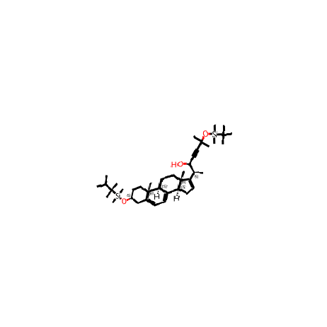 CC(C)C(C)(C)[Si](C)(C)O[C@H]1CC[C@@]2(C)C(=CC=C3[C@@H]2CC[C@]2(C)C([C@H](C)C(O)C#CC(C)(C)O[Si](C)(C)C(C)(C)C)=CC[C@@H]32)C1